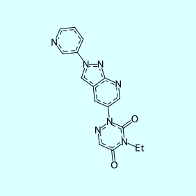 CCn1c(=O)cnn(-c2cnc3nn(-c4cccnc4)cc3c2)c1=O